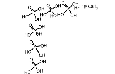 F.F.O=P(O)(O)O.O=P(O)(O)O.O=P(O)(O)O.O=P(O)(O)O.O=P(O)(O)O.O=P(O)(O)O.[CaH2]